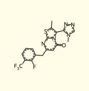 Cc1sc2nc(Cc3cccc(C(F)(F)F)c3F)cc(=O)n2c1-c1nncn1C